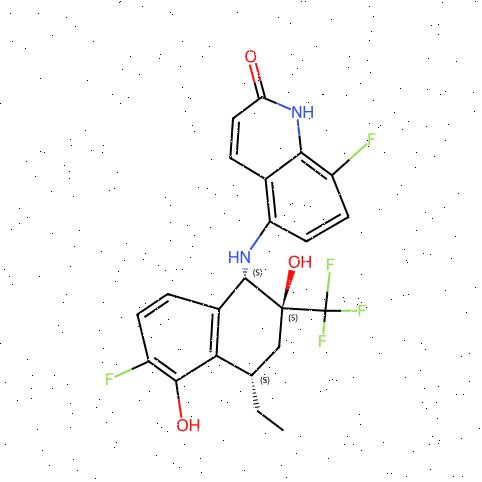 CC[C@H]1C[C@@](O)(C(F)(F)F)[C@@H](Nc2ccc(F)c3[nH]c(=O)ccc23)c2ccc(F)c(O)c21